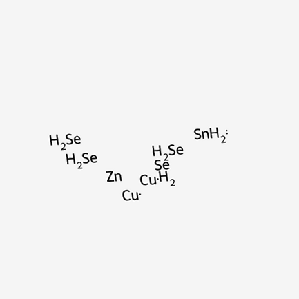 [Cu].[Cu].[SeH2].[SeH2].[SeH2].[SeH2].[SnH2].[Zn]